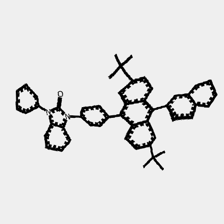 CC(C)(C)c1ccc2c(-c3ccc4ccccc4c3)c3cc(C(C)(C)C)ccc3c(-c3ccc(-n4c(=O)n(-c5ccccc5)c5ccccc54)cc3)c2c1